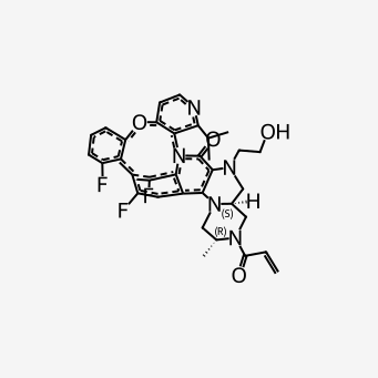 C=CC(=O)N1C[C@@H]2CN(CCO)c3c(c4cc(F)c5c(F)c4n(c3=O)c3c(C(C)C)nccc3oc3cccc(F)c35)N2C[C@H]1C